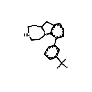 FC(F)(F)c1cccc(-c2cccc3c2N2CCNCCC2C3)c1